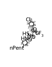 CCCCCc1ccc(NC(=O)N(S)C(=O)c2cc(-c3ccc(Cl)cc3)oc2C(F)(F)F)cc1